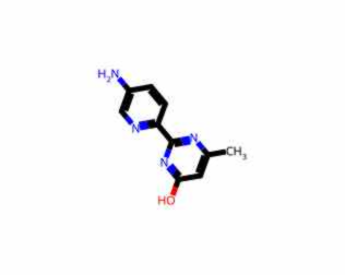 Cc1cc(O)nc(-c2ccc(N)cn2)n1